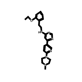 CCOc1ccccc1CCNc1cc(-c2ccc(N3CCN(C)CC3)nc2)ncn1